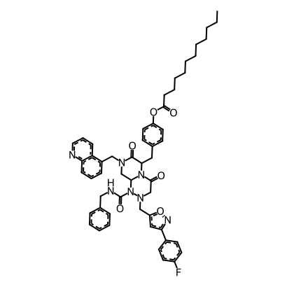 CCCCCCCCCCCC(=O)Oc1ccc(CC2C(=O)N(Cc3cccc4ncccc34)CC3N2C(=O)CN(Cc2cc(-c4ccc(F)cc4)no2)N3C(=O)NCc2ccccc2)cc1